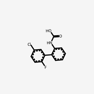 O=C(O)Nc1ccccc1-c1cc(Cl)ccc1F